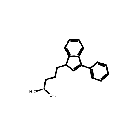 CN(C)CCCC1C=C(c2ccccc2)c2ccccc21